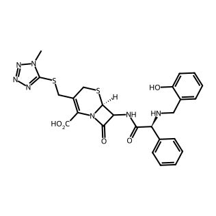 Cn1nnnc1SCC1=C(C(=O)O)N2C(=O)C(NC(=O)[C@@H](NCc3ccccc3O)c3ccccc3)[C@@H]2SC1